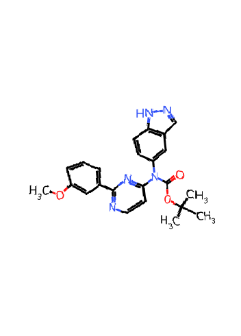 COc1cccc(-c2nccc(N(C(=O)OC(C)(C)C)c3ccc4[nH]ncc4c3)n2)c1